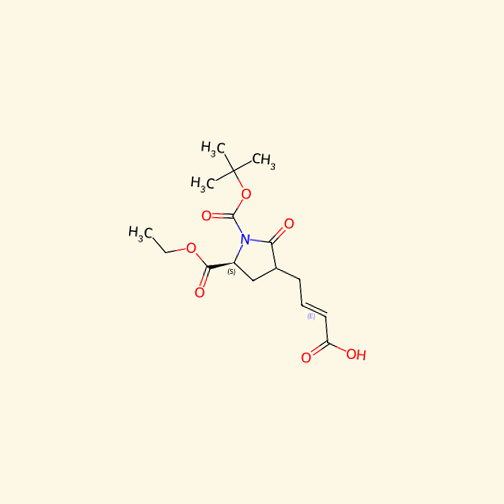 CCOC(=O)[C@@H]1CC(C/C=C/C(=O)O)C(=O)N1C(=O)OC(C)(C)C